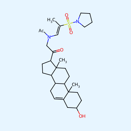 CC(=O)N(/C=C(\C)S(=O)(=O)N1CCCC1)CC(=O)C1CCC2C3CC=C4CC(O)CCC4(C)C3CCC12C